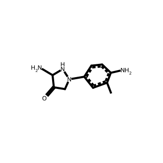 Cc1cc(N2CC(=O)C(N)N2)ccc1N